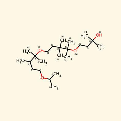 CC(C)OCCC(C)C(C)(C)OCCC(C)(C)C(C)(C)OCCC(C)(C)O